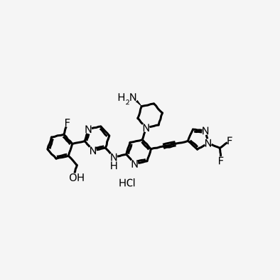 Cl.N[C@H]1CCCN(c2cc(Nc3ccnc(-c4c(F)cccc4CO)n3)ncc2C#Cc2cnn(C(F)F)c2)C1